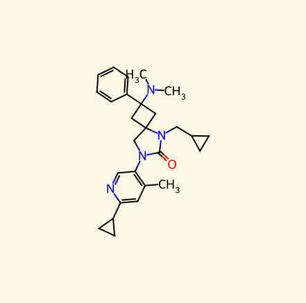 Cc1cc(C2CC2)ncc1N1CC2(CC(c3ccccc3)(N(C)C)C2)N(CC2CC2)C1=O